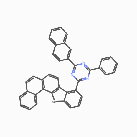 c1ccc(-c2nc(-c3ccc4ccccc4c3)nc(-c3cccc4[se]c5c(ccc6ccc7ccccc7c65)c34)n2)cc1